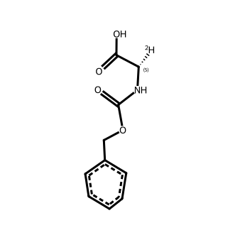 [2H][C@H](NC(=O)OCc1ccccc1)C(=O)O